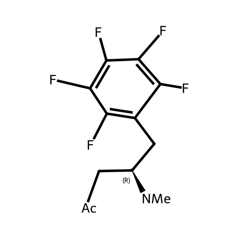 CN[C@@H](CC(C)=O)Cc1c(F)c(F)c(F)c(F)c1F